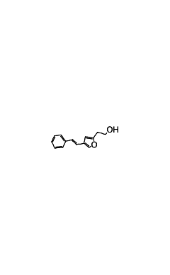 OCCc1cc(C=Cc2ccccc2)co1